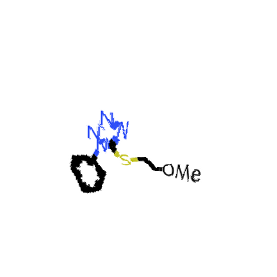 COCCSc1nnnn1-c1ccccc1